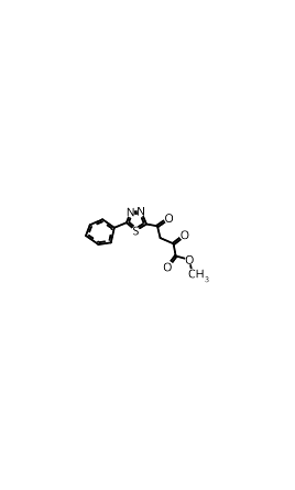 COC(=O)C(=O)CC(=O)c1nnc(-c2ccccc2)s1